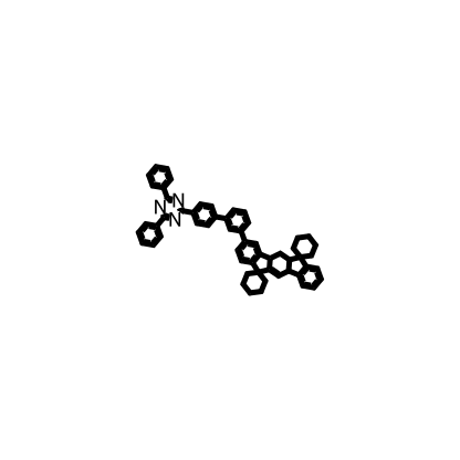 C1=C2C(CC3C1c1ccccc1C31CCCCC1)c1cc(-c3cccc(-c4ccc(-c5nc(-c6ccccc6)nc(-c6ccccc6)n5)cc4)c3)ccc1C21CCCCC1